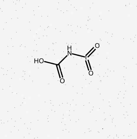 O=C(O)NI(=O)=O